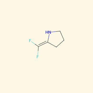 FC(F)=C1CCCN1